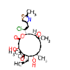 C#CC[C@H]1C(=O)C(C)(C)[C@@H](O)CC(=O)O[C@H](C(Cl)=Cc2csc(C)n2)C[C@H]2O[C@@]2(C)CCC[C@H](C)[C@@H]1O